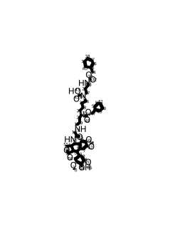 COc1cc(C2c3cc4c(cc3C(NC(=O)CNCCCN(CCCCN(CCCNC(=O)OCc3ccccc3)C(=O)O)C(=O)OCc3ccccc3)C3COC(=O)C23)OCO4)cc(OC)c1O